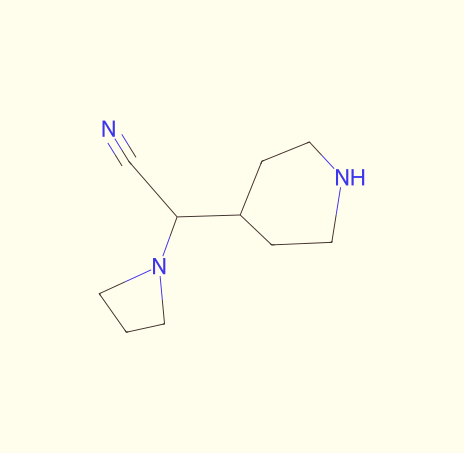 N#CC(C1CCNCC1)N1CCC1